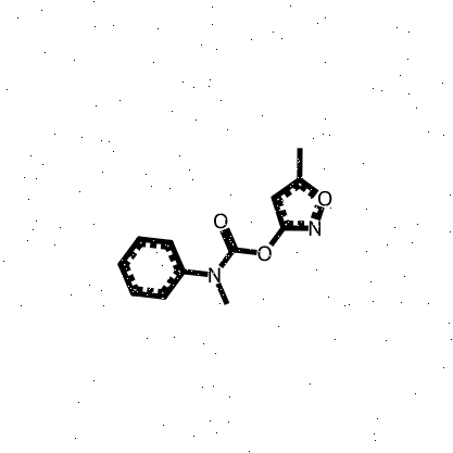 Cc1cc(OC(=O)N(C)c2ccccc2)no1